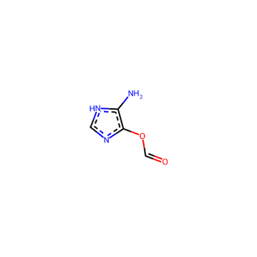 Nc1[nH]cnc1OC=O